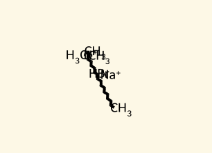 Br.CCCCCCCCCCCCCCCC[N+](C)(C)C.[Na+]